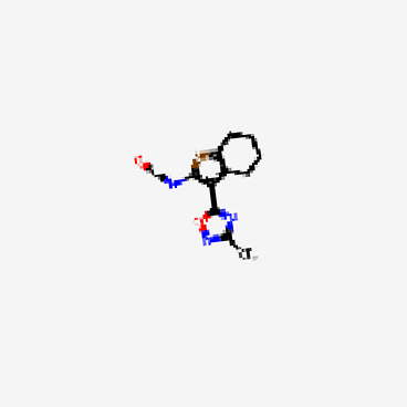 O=C=Nc1sc2c(c1-c1nc(C(F)(F)F)no1)CCCC2